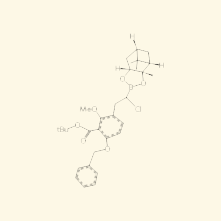 COc1c(CC(Cl)B2O[C@@H]3C[C@@H]4C[C@@H](C4(C)C)[C@]3(C)O2)ccc(OCc2ccccc2)c1C(=O)OC(C)(C)C